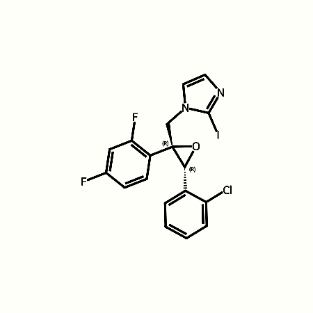 Fc1ccc([C@]2(Cn3ccnc3I)O[C@@H]2c2ccccc2Cl)c(F)c1